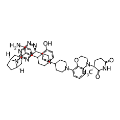 C[C@]1(N2CCOc3c(N4CCC(N5CCC(c6ccnc(N7[C@@H]8CC[C@H]7CN(c7cc(-c9ccccc9O)nnc7N)C8)n6)CC5)CC4)cccc32)CCC(=O)NC1=O